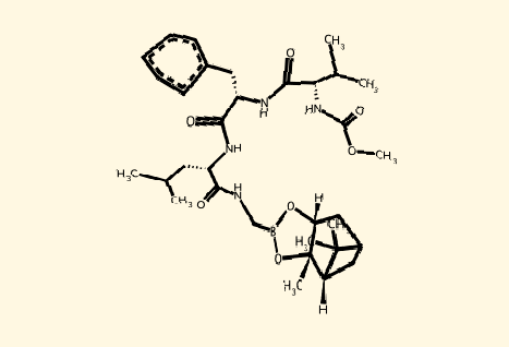 COC(=O)N[C@H](C(=O)N[C@@H](Cc1ccccc1)C(=O)N[C@@H](CC(C)C)C(=O)NCB1O[C@@H]2CC3C[C@@H](C3(C)C)[C@]2(C)O1)C(C)C